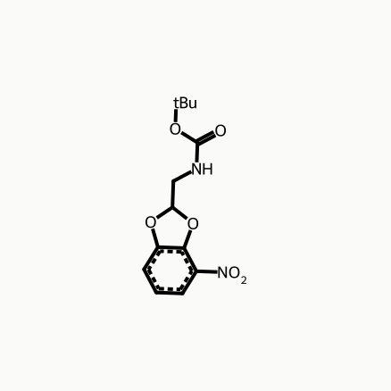 CC(C)(C)OC(=O)NCC1Oc2cccc([N+](=O)[O-])c2O1